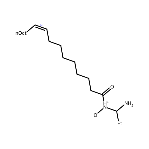 CCCCCCCC/C=C\CCCCCCCC(=O)[NH+]([O-])C(N)CC